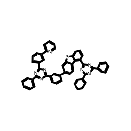 C1=CC(c2nc(-c3ccccc3)nc(-c3cccc4sc5cc(-c6cccc(-c7nc(-c8ccccc8)nc(-c8cccc(-c9ccccn9)c8)n7)c6)ccc5c34)n2)=CCC1